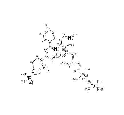 Cc1ccc(-c2cc(-c3cccc[n+]3C)cc(-c3ccc(C)cc3)[n+]2-c2cc[n+](C)cc2)cc1.F[B-](F)(F)F.F[B-](F)(F)F.F[B-](F)(F)F